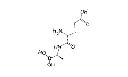 C[C@H](NC(=O)C(N)CCC(=O)O)B(O)O